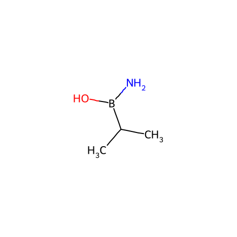 CC(C)B(N)O